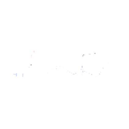 NC(=O)/C=C/CN1CCCC1